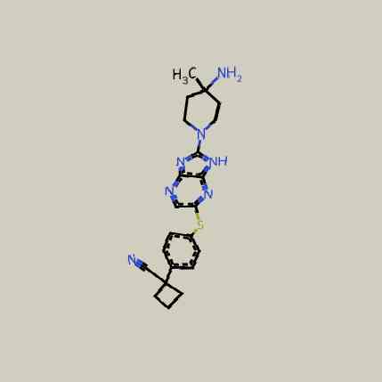 CC1(N)CCN(c2nc3ncc(Sc4ccc(C5(C#N)CCC5)cc4)nc3[nH]2)CC1